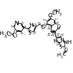 COc1cncc(-c2nc(COc3cc(OC)cc4oc(-c5cn6c(n5)SC(OC)N6)cc34)cs2)c1